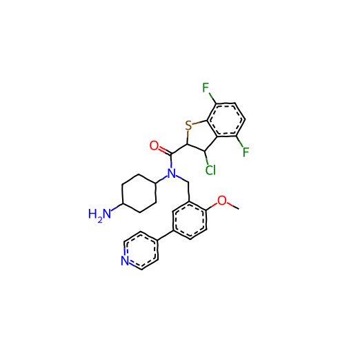 COc1ccc(-c2ccncc2)cc1CN(C(=O)C1Sc2c(F)ccc(F)c2C1Cl)C1CCC(N)CC1